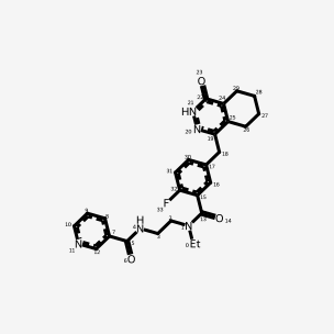 CCN(CCNC(=O)c1cccnc1)C(=O)c1cc(Cc2n[nH]c(=O)c3c2CCCC3)ccc1F